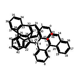 c1ccc(N(c2ccccc2-c2cccc3ccccc23)c2cccc3c2-c2c4cccc2-c2cccc-3c2-c2ccccc2-4)cc1